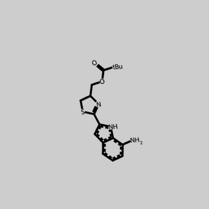 CC(C)(C)C(=O)OCC1CSC(c2cc3cccc(N)c3[nH]2)=N1